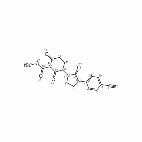 C#Cc1ccc(N2CCN(C3CCC(=O)N(C(=O)OC(C)(C)C)C3=O)C2=O)cc1